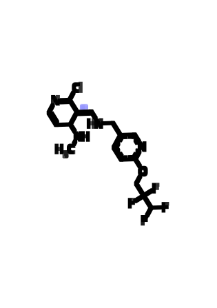 CNC1C=CN=C(Cl)/C1=C/NCc1ccc(OCC(F)(F)C(F)F)nc1